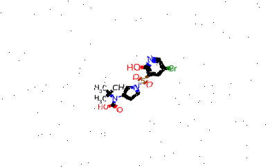 CC(C)(C)N(C(=O)O)[C@H]1CCN(S(=O)(=O)c2cc(Br)cnc2O)C1